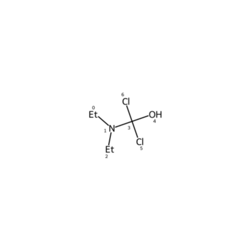 CCN(CC)C(O)(Cl)Cl